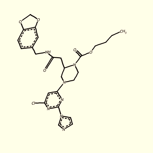 CCCCOC(=O)N1CCN(c2cc(Cl)nc(-n3ccnc3)n2)CC1CC(=O)NCc1ccc2c(c1)OCO2